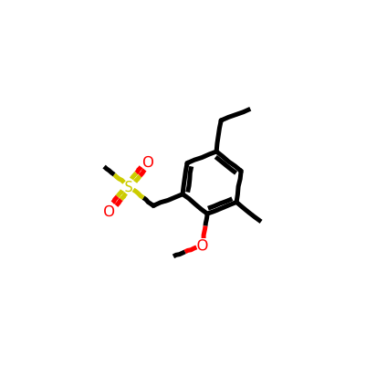 CCc1cc(C)c(OC)c(CS(C)(=O)=O)c1